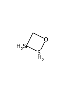 C1O[SiH2][SiH2]1